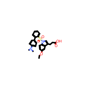 CCOc1ccc2c(c1)c(CCC(=O)O)cn2S(=O)(=O)c1ccccc1-c1ccc(N(C)C)cc1